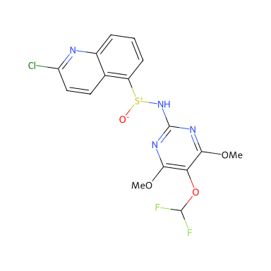 COc1nc(N[S+]([O-])c2cccc3nc(Cl)ccc23)nc(OC)c1OC(F)F